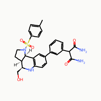 Cc1ccc(S(=O)(=O)N2CC[C@@H]3[C@H](CO)Nc4ccc(-c5cccc(C(C(N)=O)C(N)=O)c5)cc4[C@@H]32)cc1